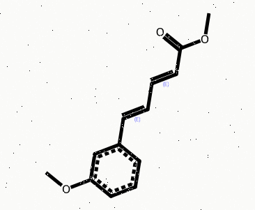 COC(=O)/C=C/C=C/c1cccc(OC)c1